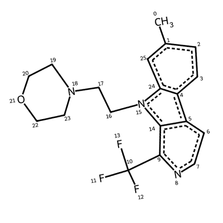 Cc1ccc2c3ccnc(C(F)(F)F)c3n(CCN3CCOCC3)c2c1